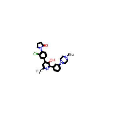 Cc1cc(-c2ccc(N3CCCC3=O)c(Cl)c2)c(O)c(-c2cccc(N3CCN(C(C)(C)C)CC3)c2)n1